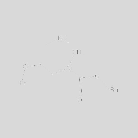 CCO[C@H](CN)CN(C)C(=O)OC(C)(C)C